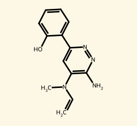 C=CN(C)c1cc(-c2ccccc2O)nnc1N